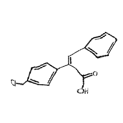 O=C(O)/C(=C\c1ccccc1)c1ccc(Cl)cc1